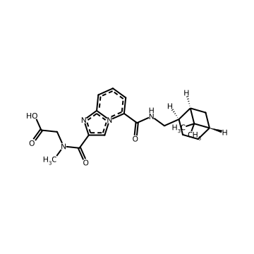 CN(CC(=O)O)C(=O)c1cn2c(C(=O)NC[C@@H]3CC[C@H]4C[C@H]3C4(C)C)cccc2n1